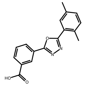 Cc1ccc(C)c(-c2nnc(-c3cccc(C(=O)O)c3)o2)c1